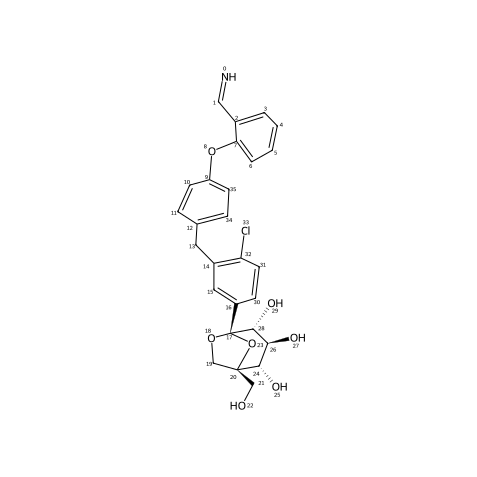 N=Cc1ccccc1Oc1ccc(Cc2cc([C@]34OC[C@](CO)(O3)[C@@H](O)[C@H](O)[C@H]4O)ccc2Cl)cc1